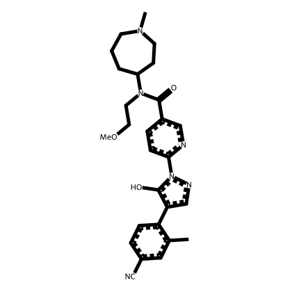 COCCN(C(=O)c1ccc(-n2ncc(-c3ccc(C#N)cc3C)c2O)nc1)C1CCCN(C)CC1